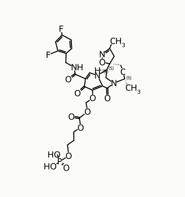 CC1=NO[C@@]2(CC[C@H](C)N3C[C@H]2n2cc(C(=O)NCc4ccc(F)cc4F)c(=O)c(OCOC(=O)OCCCOP(=O)(O)O)c2C3=O)C1